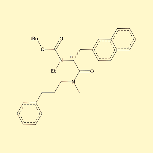 CCN(C(=O)OC(C)(C)C)[C@H](Cc1ccc2ccccc2c1)C(=O)N(C)CCCc1ccccc1